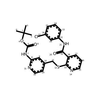 CC(C)(C)OC(=O)Nc1cc(CSc2ncccc2C(=O)Nc2cccc(Cl)c2)ccn1